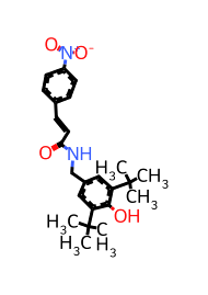 CC(C)(C)c1cc(CNC(=O)C=Cc2ccc([N+](=O)[O-])cc2)cc(C(C)(C)C)c1O